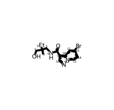 CCC(C)(CO)CNC(=O)c1cnn2ccc(Br)cc12